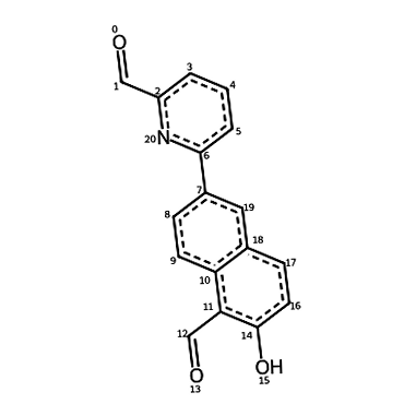 O=Cc1cccc(-c2ccc3c(C=O)c(O)ccc3c2)n1